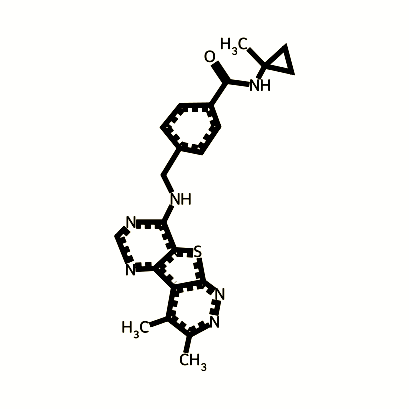 Cc1nnc2sc3c(NCc4ccc(C(=O)NC5(C)CC5)cc4)ncnc3c2c1C